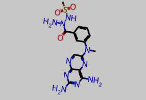 CN(c1cccc(C(=O)N(N)NS(C)(=O)=O)c1)c1cnc2nc(N)nc(N)c2n1